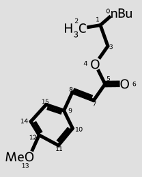 CCCCC(C)COC(=O)C=Cc1ccc(OC)cc1